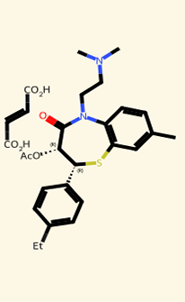 CCc1ccc([C@H]2Sc3cc(C)ccc3N(CCN(C)C)C(=O)[C@H]2OC(C)=O)cc1.O=C(O)C=CC(=O)O